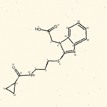 O=C(O)Cn1c(SCCCNC(=O)C2CC2)nc2ccccc21